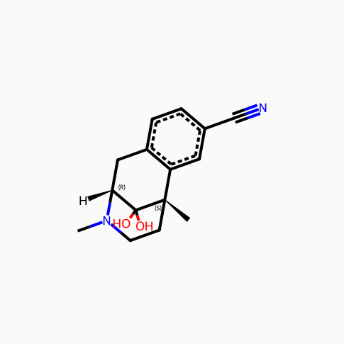 CN1CC[C@@]2(C)c3cc(C#N)ccc3C[C@@H]1C2(O)O